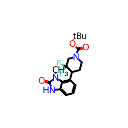 Cn1c(=O)[nH]c2cccc(C3CCN(C(=O)OC(C)(C)C)CC3(F)F)c21